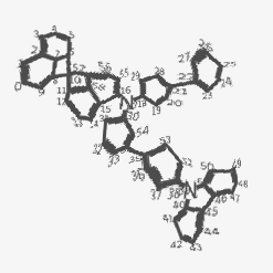 C1=CC2=CC=CC3C2C(=C1)C31c2cccc3c(N(c4ccc(-c5ccccc5)cc4)c4cccc(-c5ccc(-n6c7ccccc7c7ccccc76)cc5)c4)ccc1c23